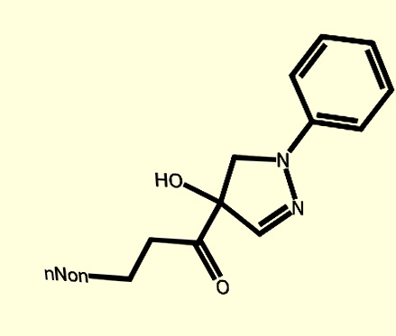 CCCCCCCCCCCC(=O)C1(O)C=NN(c2ccccc2)C1